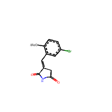 COc1ccc(Br)cc1/C=C1\CC(=O)NC1=O